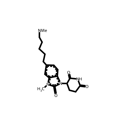 CNCCCCCc1ccc2c(c1)n(C)c(=O)n2C1CCC(=O)NC1=O